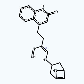 N=N/C(=C\NC1CC2=CC(C1)N2)CCc1cc(=O)[nH]c2ccccc12